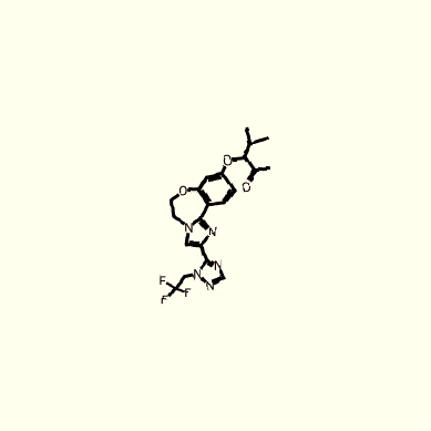 CC(=O)C(Oc1ccc2c(c1)OCCn1cc(-c3ncnn3CC(F)(F)F)nc1-2)C(C)C